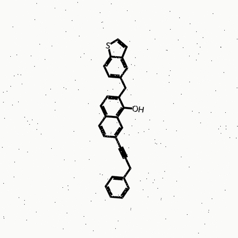 Oc1c(Cc2ccc3sccc3c2)ccc2ccc(C#CCc3ccccc3)cc12